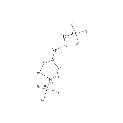 CC(C)(C)OCOC1CCN(C(C)(C)C)CC1